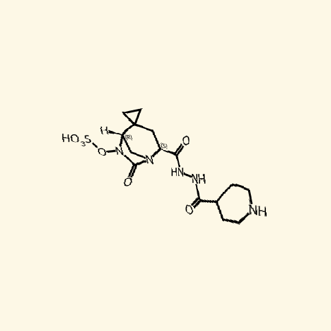 O=C(NNC(=O)[C@@H]1CC2(CC2)[C@@H]2CN1C(=O)N2OS(=O)(=O)O)C1CCNCC1